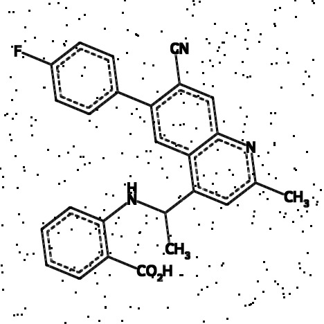 Cc1cc(C(C)Nc2ccccc2C(=O)O)c2cc(-c3ccc(F)cc3)c(C#N)cc2n1